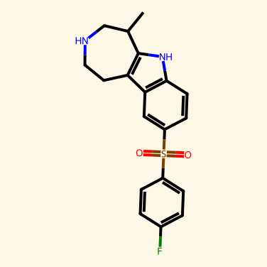 CC1CNCCc2c1[nH]c1ccc(S(=O)(=O)c3ccc(F)cc3)cc21